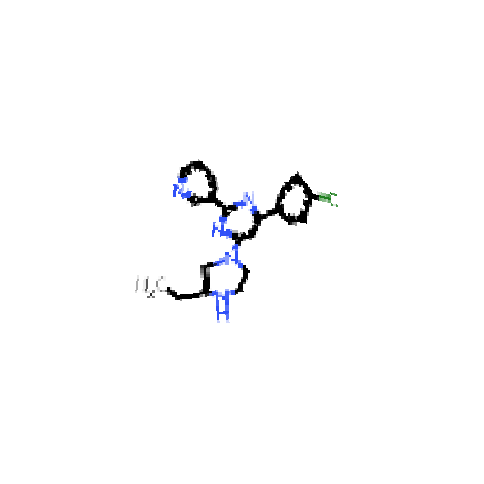 CCC1CN(c2cc(-c3ccc(Cl)cc3)nc(-c3cccnc3)n2)CCN1